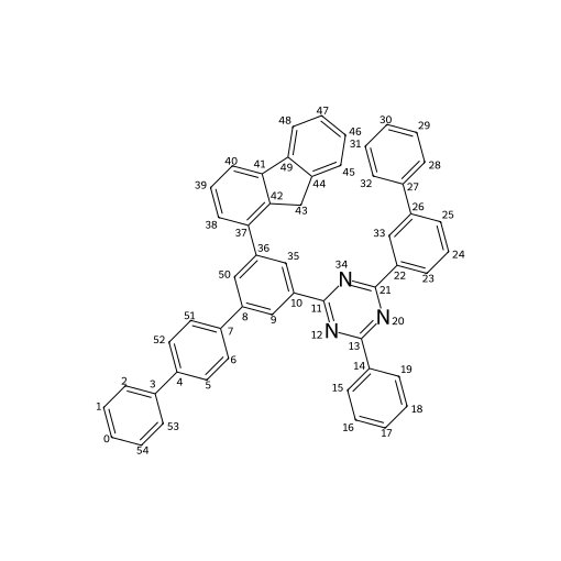 c1ccc(-c2ccc(-c3cc(-c4nc(-c5ccccc5)nc(-c5cccc(-c6ccccc6)c5)n4)cc(-c4cccc5c4Cc4ccccc4-5)c3)cc2)cc1